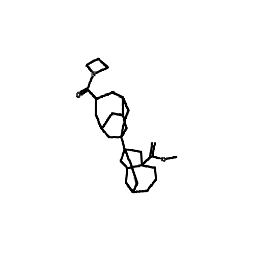 COC(=O)C12CCCC3CC1CC(C14CC5CC(C(=O)N6CCC6)CC(C1)C(C5)C4)(C3)C2